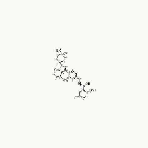 COc1ccc(F)cc1C(O)NCc1ccc(-c2nc([C@]3(C)CC[C@@](C)(C(=O)O)CC3)n3ncnc(N)c23)cc1